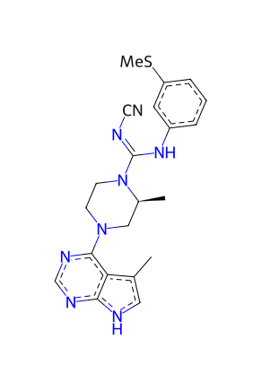 CSc1cccc(N/C(=N\C#N)N2CCN(c3ncnc4[nH]cc(C)c34)C[C@@H]2C)c1